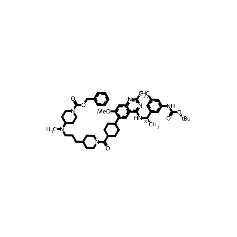 COc1cc2nc(C)nc(N[C@H](C)c3cc(NC(=O)OC(C)(C)C)cc(C(F)(F)F)c3)c2cc1C1CCC(C(=O)N2CCC(CCCN(C)C3CCN(C(=O)OCc4ccccc4)CC3)CC2)CC1